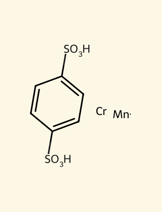 O=S(=O)(O)c1ccc(S(=O)(=O)O)cc1.[Cr].[Mn]